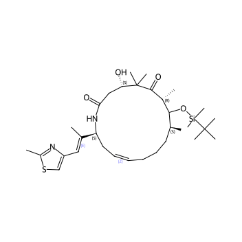 C/C(=C\c1csc(C)n1)[C@@H]1C/C=C\CCC[C@H](C)C(O[Si](C)(C)C(C)(C)C)[C@@H](C)C(=O)C(C)(C)[C@@H](O)CC(=O)N1